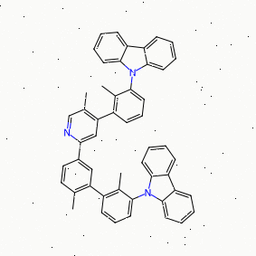 Cc1ccc(-c2cc(-c3cccc(-n4c5ccccc5c5ccccc54)c3C)c(C)cn2)cc1-c1cccc(-n2c3ccccc3c3ccccc32)c1C